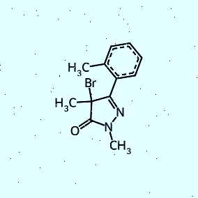 Cc1ccccc1C1=NN(C)C(=O)C1(C)Br